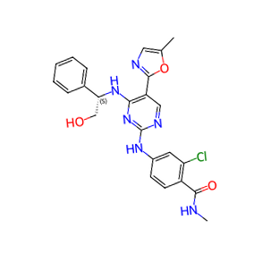 CNC(=O)c1ccc(Nc2ncc(-c3ncc(C)o3)c(N[C@H](CO)c3ccccc3)n2)cc1Cl